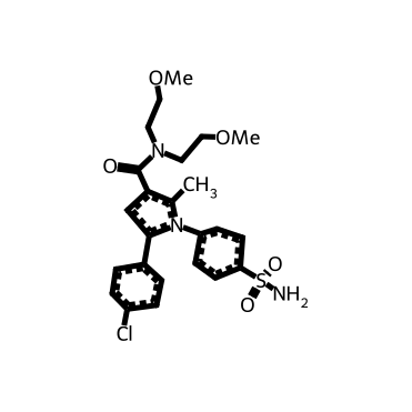 COCCN(CCOC)C(=O)c1cc(-c2ccc(Cl)cc2)n(-c2ccc(S(N)(=O)=O)cc2)c1C